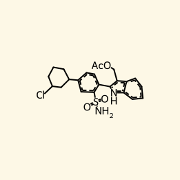 CC(=O)OCc1c(-c2ccc(C3CCCC(Cl)C3)cc2S(N)(=O)=O)[nH]c2ccccc12